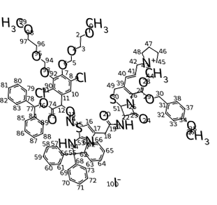 COCCOCOc1c(Cl)cc(C(ON=S2C=C(CC(=O)N[C@H]3C(=O)N4C(C(=O)OCc5ccc(OC)cc5)=C(C=CC[N+]5(C)CCCC5)CSC34)N=C2NC(c2ccccc2)(c2ccccc2)c2ccccc2)C(=O)OC(c2ccccc2)c2ccccc2)c(Cl)c1OCOCCOC.[I-]